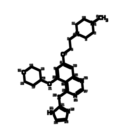 CN1CCN(CCOc2cc(OC3CCOCC3)c3c(Sc4ncc[nH]4)ncnc3c2)CC1